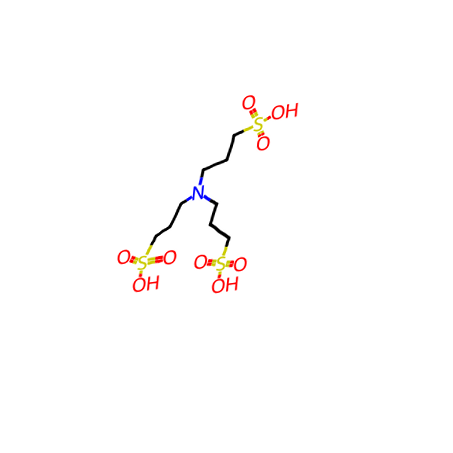 O=S(=O)(O)CCCN(CCCS(=O)(=O)O)CCCS(=O)(=O)O